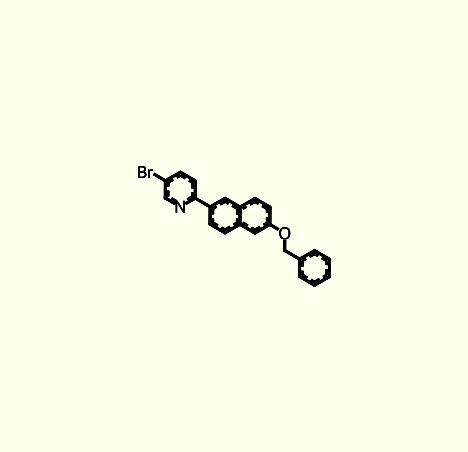 Brc1ccc(-c2ccc3cc(OCc4ccccc4)ccc3c2)nc1